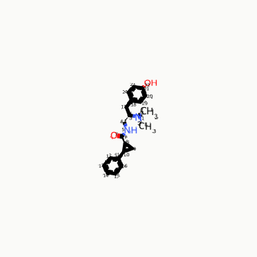 CN(C)[C@H](CNC(=O)[C@H]1CC1c1ccccc1)Cc1ccc(O)cc1